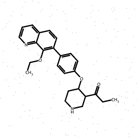 CCOc1c(-c2ccc(OC3CCNCC3C(=O)CC)cc2)ccc2cccnc12